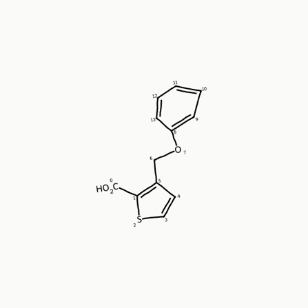 O=C(O)c1sccc1COc1ccccc1